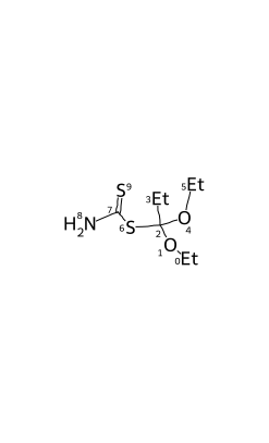 CCOC(CC)(OCC)SC(N)=S